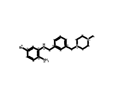 CN1CCN(Cc2cccc(CNc3cc(Br)ccc3N)c2)CC1